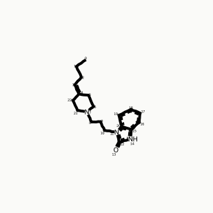 CCCC=C1CCN(CCCn2c(=O)[nH]c3ccccc32)CC1